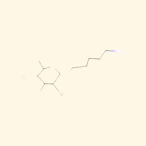 CC(=O)NC1C(O)[C@H](O)C(C)O[C@@H]1OCCCCCN